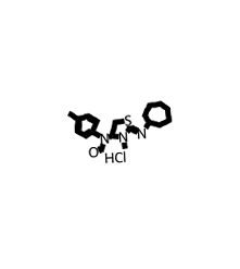 Cc1ccc(N(C=O)C2CSC(=NC3CCCCCC3)N2C)cc1.Cl